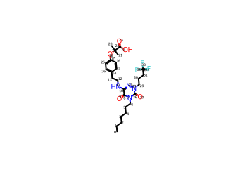 CCCCCCCn1c(=O)c(NCCc2ccc(OC(C)(C)C(=O)O)cc2)nn(CCCC(F)(F)F)c1=O